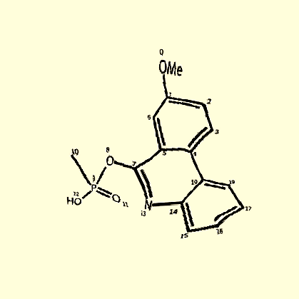 COc1ccc2c(c1)c(OP(C)(=O)O)nc1ccccc12